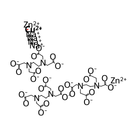 O=C([O-])CN(CCN(CC(=O)[O-])CC(=O)[O-])CC(=O)[O-].O=C([O-])CN(CCN(CC(=O)[O-])CC(=O)[O-])CC(=O)[O-].O=C([O-])CN(CCN(CC(=O)[O-])CC(=O)[O-])CC(=O)[O-].[Cu+2].[Cu+2].[Na+].[Na+].[Na+].[Na+].[Zn+2].[Zn+2]